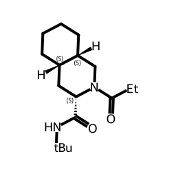 CCC(=O)N1C[C@H]2CCCC[C@H]2C[C@H]1C(=O)NC(C)(C)C